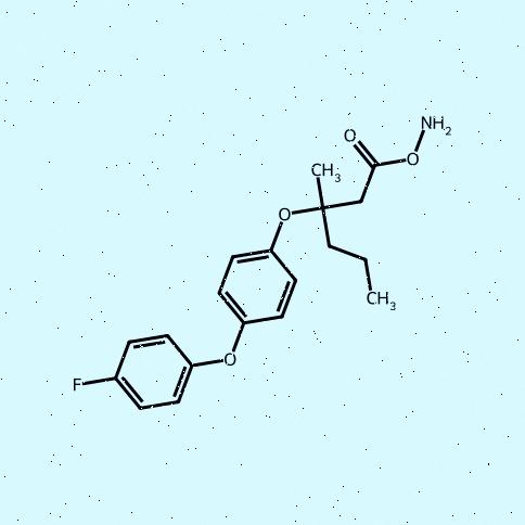 CCCC(C)(CC(=O)ON)Oc1ccc(Oc2ccc(F)cc2)cc1